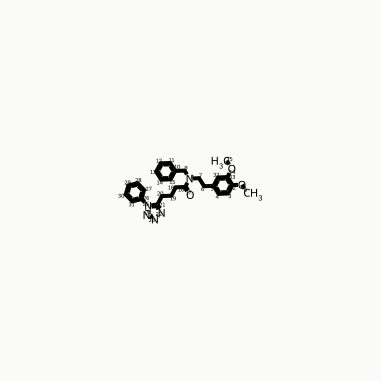 COc1ccc(CCN(Cc2ccccc2)C(=O)CCCc2nnnn2-c2ccccc2)cc1OC